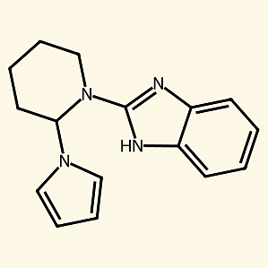 c1ccc2[nH]c(N3CCCCC3n3cccc3)nc2c1